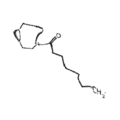 [CH2]CCCCCC(=O)N1CCOCC1